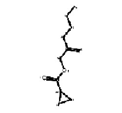 C=C(CCCC)COC(=O)C1CC1